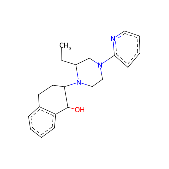 CCC1CN(c2ccccn2)CCN1C1CCc2ccccc2C1O